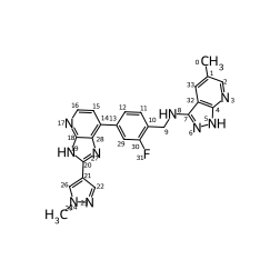 Cc1cnc2[nH]nc(NCc3ccc(-c4ccnc5[nH]c(-c6cnn(C)c6)nc45)cc3F)c2c1